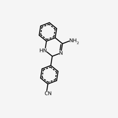 N#Cc1ccc(C2N=C(N)c3ccccc3N2)cc1